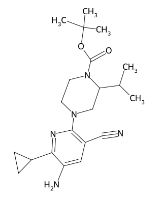 CC(C)C1CN(c2nc(C3CC3)c(N)cc2C#N)CCN1C(=O)OC(C)(C)C